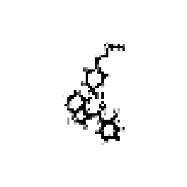 COCCN1CCC(Nc2ncnc3[nH]cc(C(=O)c4ccccc4C)c23)CC1